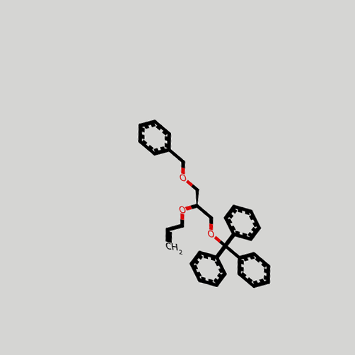 C=CCO[C@@H](COCc1ccccc1)COC(c1ccccc1)(c1ccccc1)c1ccccc1